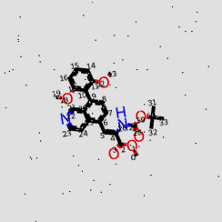 COC(=O)/C(=C/c1ccc(-c2c(OC)cccc2OC)c2cnccc12)NC(=O)OC(C)(C)C